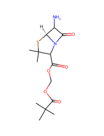 CC(C)(C)C(=O)OCOC(=O)C1N2C(=O)C(N)[C@@H]2SC1(C)C